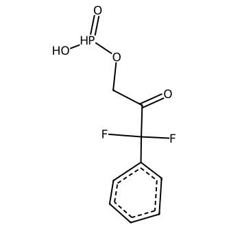 O=C(CO[PH](=O)O)C(F)(F)c1ccccc1